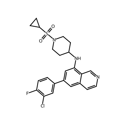 O=S(=O)(C1CC1)N1CCC(Nc2cc(-c3ccc(F)c(Cl)c3)cc3ccncc23)CC1